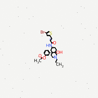 C=CCN1CC[C@@]2(c3cccc(OC(C)=O)c3)C[C@H](NC(=O)/C=C/c3cc(Br)cs3)CC[C@]2(O)C1